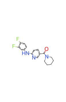 O=C(c1ccc(Nc2ccc(F)c(F)c2)nc1)N1CCCCC1